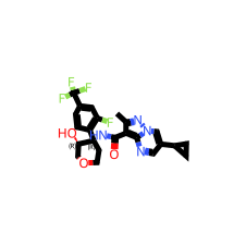 Cc1nn2cc(C3CC3)cnc2c1C(=O)N[C@@]1(c2ccc(C(F)(F)F)cc2F)CCOC[C@@H]1O